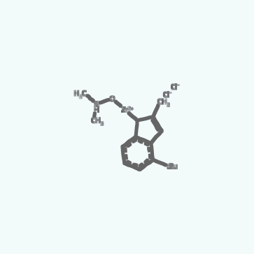 CC1=Cc2c(cccc2C(C)(C)C)[CH]1[Zr+2][O][SiH](C)C.[Cl-].[Cl-]